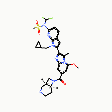 COc1cc(C(=O)N2C[C@@H]3CNCC[C@@H]32)cc2nc(-c3cc4ccc(N(C(F)F)S(C)(=O)=O)nc4n3CC3CC3)c(C)n12